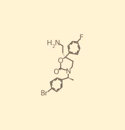 C[C@@H](c1ccc(Br)cc1)N1CC[C@](CCN)(c2ccc(F)cc2)OC1=O